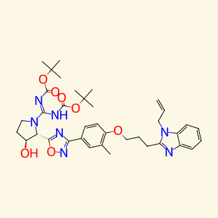 C=CCn1c(CCCOc2ccc(-c3noc([C@@H]4[C@@H](O)CCN4/C(=N/C(=O)OC(C)(C)C)NC(=O)OC(C)(C)C)n3)cc2C)nc2ccccc21